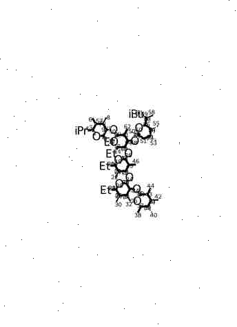 CCC1OC(C(C)C)C(C)[C@@H](C)[C@@H]1O[C@@H]1OC(CC)[C@H](O[C@@H]2OC(CC)[C@H](C)[C@H](O[C@@H]3OC(CC)[C@H](C)[C@H](C)C3O[C@@H]3OC(C)[C@@H](C)[C@H](C)C3C)C2C)[C@H](O[C@]2(C)C[C@@H](C)[C@@H](C)C([C@H](C)[C@H](C)CC)O2)C1C